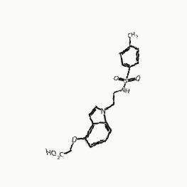 Cc1ccc(S(=O)(=O)NCCn2ccc3c(OCC(=O)O)cccc32)cc1